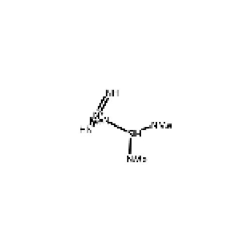 CN[SiH](NC)NC.N=[N+]=N